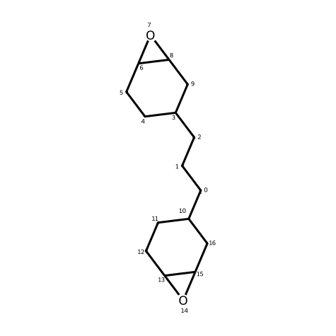 [CH](CCC1CCC2OC2C1)C1CCC2OC2C1